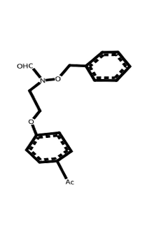 CC(=O)c1ccc(OCCN(C=O)OCc2ccccc2)cc1